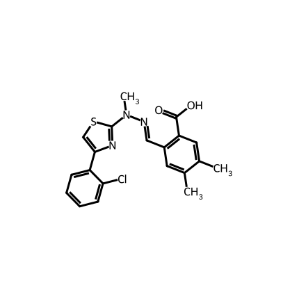 Cc1cc(/C=N/N(C)c2nc(-c3ccccc3Cl)cs2)c(C(=O)O)cc1C